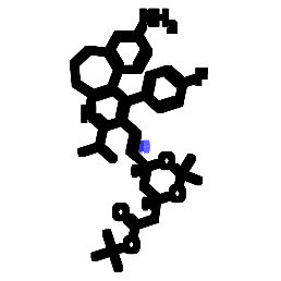 CC(C)c1nc2c(c(-c3ccc(F)cc3)c1/C=C/[C@@H]1C[C@H](CC(=O)OC(C)(C)C)OC(C)(C)O1)-c1ccc(N)cc1CCC2